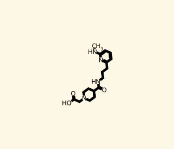 CNc1cccc(CCCNC(=O)C2CCN(CC(=O)O)CC2)n1